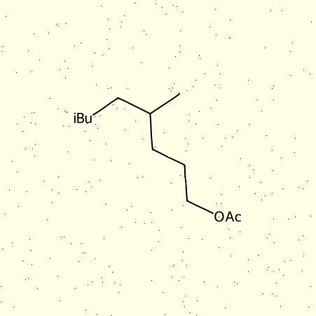 CCC(C)CC(C)CCCOC(C)=O